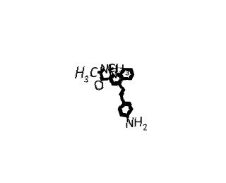 CC(N)C(=O)c1cc(C=Cc2ccc(N)cc2)c2ccccc2[n+]1C